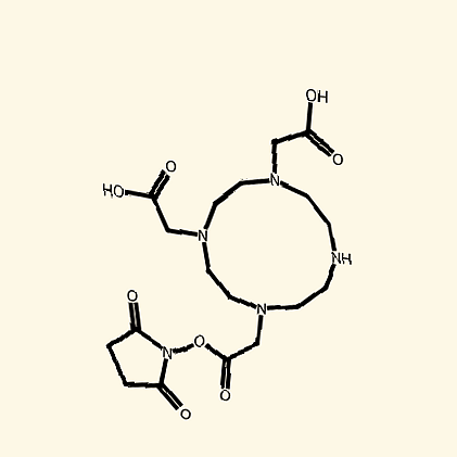 O=C(O)CN1CCNCCN(CC(=O)ON2C(=O)CCC2=O)CCN(CC(=O)O)CC1